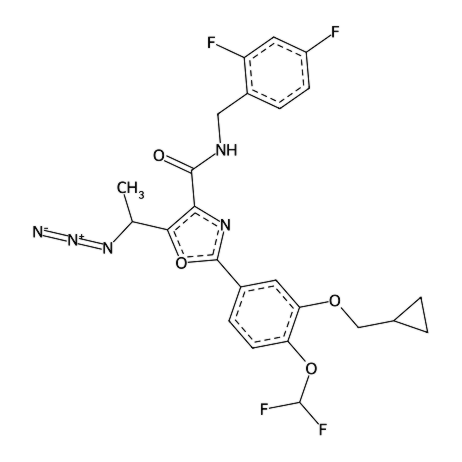 CC(N=[N+]=[N-])c1oc(-c2ccc(OC(F)F)c(OCC3CC3)c2)nc1C(=O)NCc1ccc(F)cc1F